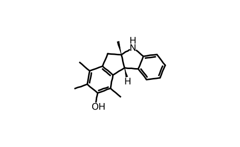 Cc1c(C)c2c(c(C)c1O)[C@H]1c3ccccc3N[C@@]1(C)C2